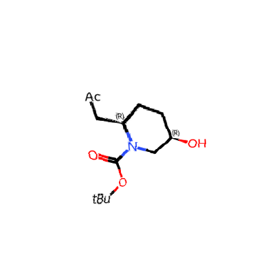 CC(=O)C[C@H]1CC[C@@H](O)CN1C(=O)OC(C)(C)C